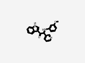 COc1cccc(NC(C(=O)c2c[nH]c3ccccc23)c2cccnc2)c1